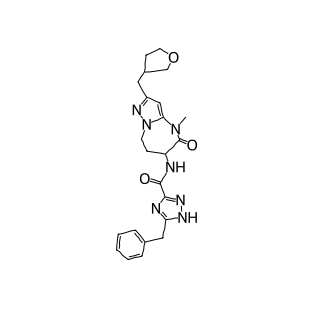 CN1C(=O)C(NC(=O)c2n[nH]c(Cc3ccccc3)n2)CCn2nc(CC3CCOC3)cc21